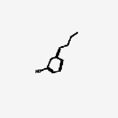 CCCC=C1C=CC=C(O)C1